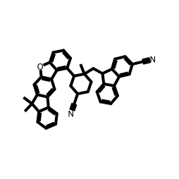 CC1(C)c2ccccc2-c2cc3c(cc21)oc1cccc(C2CC(C#N)CCC2(C)CC2c4ccccc4-c4cc(C#N)ccc42)c13